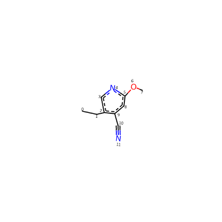 CCc1cnc(OC)cc1C#N